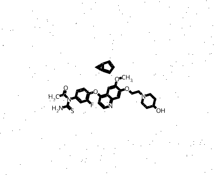 COc1cc2c(Oc3ccc(N(C(C)=O)C(N)=S)cc3F)ccnc2cc1OCCN1CCC(O)CC1.c1cc2cc-2c1